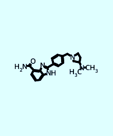 CN(C)C1CCN(Cc2ccc(-c3nc4c(C(N)=O)cccc4[nH]3)cc2)C1